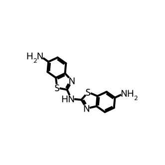 Nc1ccc2nc(Nc3nc4ccc(N)cc4s3)sc2c1